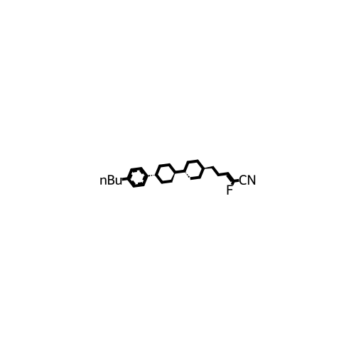 CCCCc1ccc([C@H]2CC[C@H]([C@H]3CC[C@H](CCC=C(F)C#N)CC3)CC2)cc1